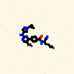 CCCC(C#N)NC(=O)c1ccc(-c2nc(Nc3cnn(C4CC4)c3)ncc2C)cc1